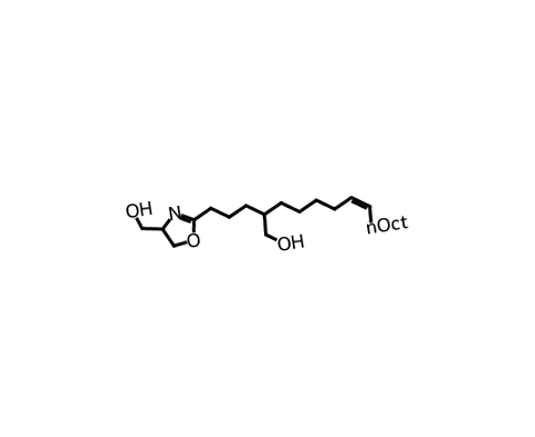 CCCCCCCC/C=C\CCCCC(CO)CCCC1=NC(CO)CO1